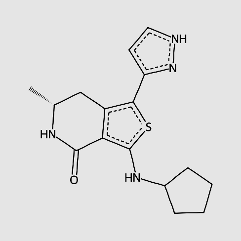 C[C@@H]1Cc2c(-c3cc[nH]n3)sc(NC3CCCC3)c2C(=O)N1